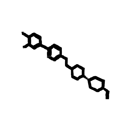 C=C[C@H]1CC[C@H](C2CCC(CCc3ccc(-c4ccc(F)c(F)c4)nc3)CC2)CC1